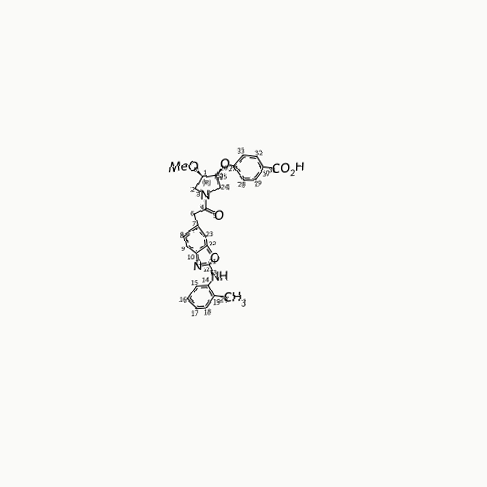 CO[C@@H]1CN(C(=O)Cc2ccc3nc(Nc4ccccc4C)oc3c2)C[C@@H]1Oc1ccc(C(=O)O)cc1